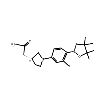 CC1(C)OB(c2ccc(N3CC[C@H](CC(N)=O)C3)cc2F)OC1(C)C